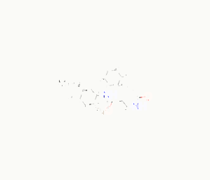 COc1cc(NC(=O)C2=CNC(=O)CC2c2ccccc2)c(Br)cc1C